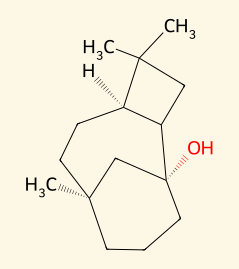 CC1(C)CC2[C@H]1CC[C@]1(C)CCC[C@@]2(O)C1